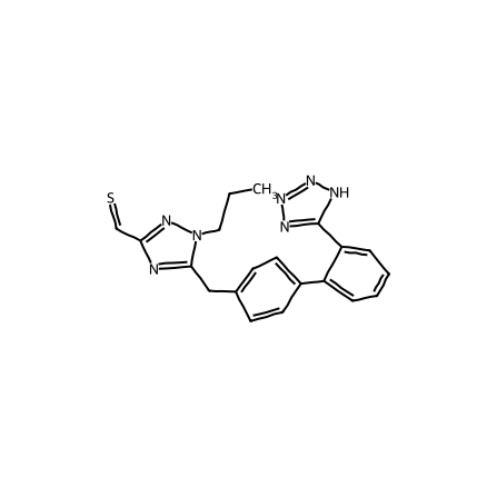 CCCn1nc(C=S)nc1Cc1ccc(-c2ccccc2-c2nnn[nH]2)cc1